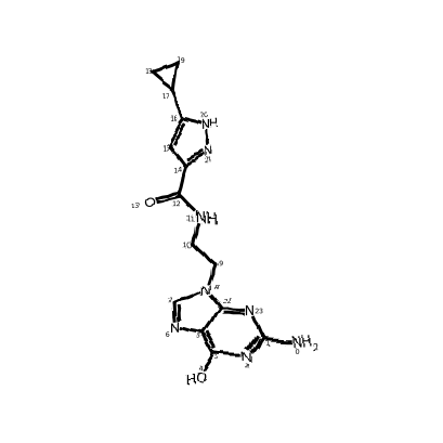 Nc1nc(O)c2ncn(CCNC(=O)c3cc(C4CC4)[nH]n3)c2n1